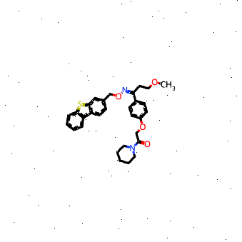 COCC/C(=N/OCc1ccc2c(c1)sc1ccccc12)c1ccc(OCC(=O)N2CCCCC2)cc1